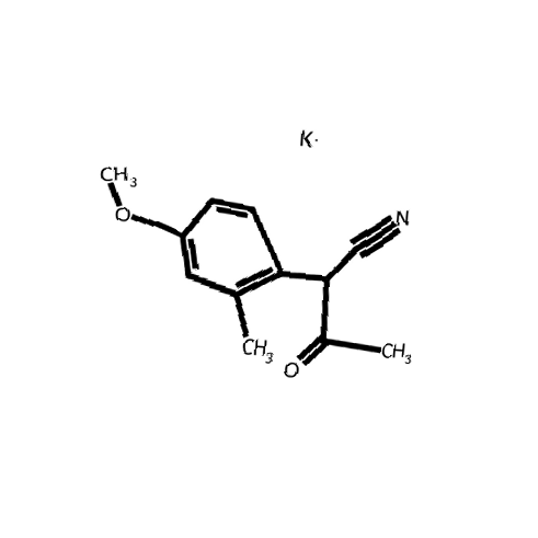 COc1ccc(C(C#N)C(C)=O)c(C)c1.[K]